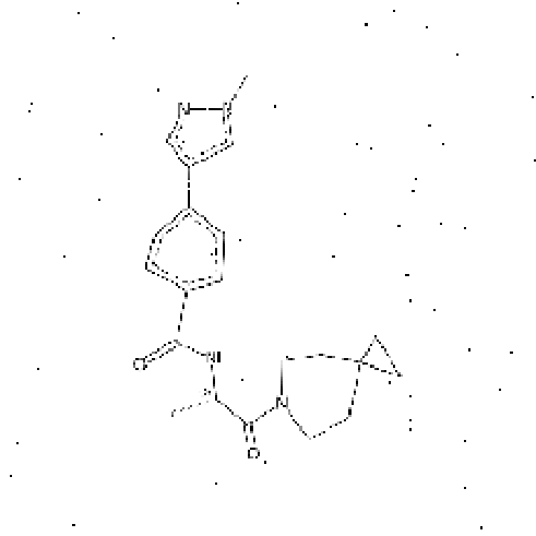 C[C@H](NC(=O)c1ccc(-c2cnn(C)c2)cc1)C(=O)N1CCC2(CC1)CC2